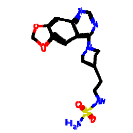 NS(=O)(=O)NCCC1CN(c2ncnc3cc4c(cc23)OCO4)C1